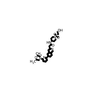 C[C@@H]1CN(c2cccc(-c3ccc4cnc(CC(=O)NC5CCN(S(=O)(=O)CCO)CC5)cc4c3)n2)C[C@H](C)O1